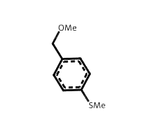 COCc1ccc(SC)cc1